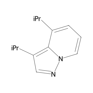 CC(C)c1cccn2ncc(C(C)C)c12